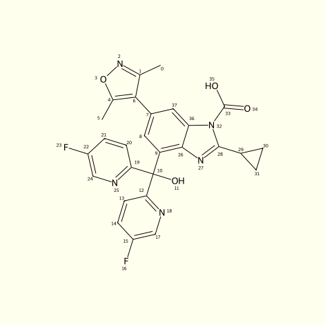 Cc1noc(C)c1-c1cc(C(O)(c2ccc(F)cn2)c2ccc(F)cn2)c2nc(C3CC3)n(C(=O)O)c2c1